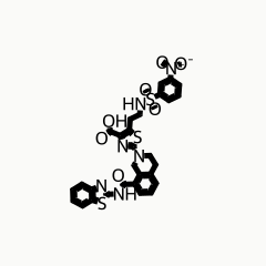 O=C(Nc1nc2ccccc2s1)c1cccc2c1CN(c1nc(C(=O)O)c(CCNS(=O)(=O)c3cccc([N+](=O)[O-])c3)s1)CC2